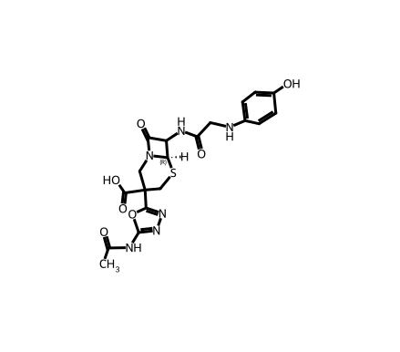 CC(=O)Nc1nnc(C2(C(=O)O)CS[C@@H]3C(NC(=O)CNc4ccc(O)cc4)C(=O)N3C2)o1